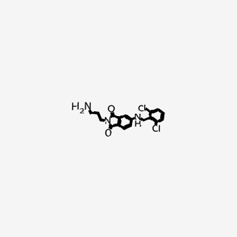 NCCCN1C(=O)c2ccc(NCc3c(Cl)cccc3Cl)cc2C1=O